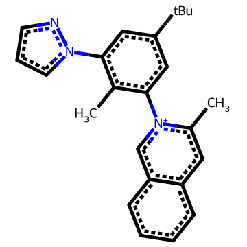 Cc1c(-n2cccn2)cc(C(C)(C)C)cc1-[n+]1cc2ccccc2cc1C